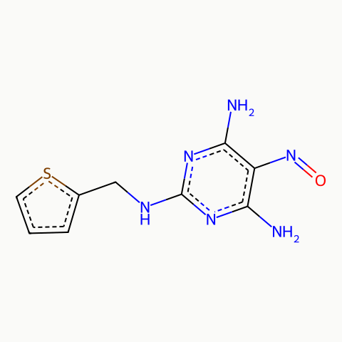 Nc1nc(NCc2cccs2)nc(N)c1N=O